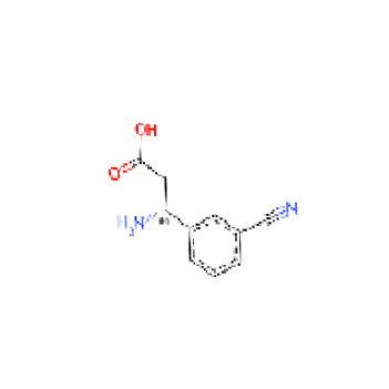 N#Cc1cccc([C@H](N)CC(=O)O)c1